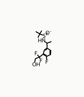 CC(N[S+]([O-])C(C)(C)C)c1ccc(F)c(C(F)(F)CO)c1